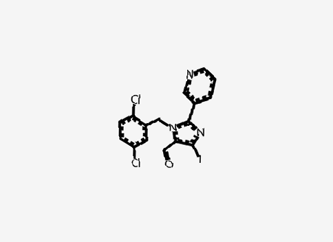 O=Cc1c(I)nc(-c2cccnc2)n1Cc1cc(Cl)ccc1Cl